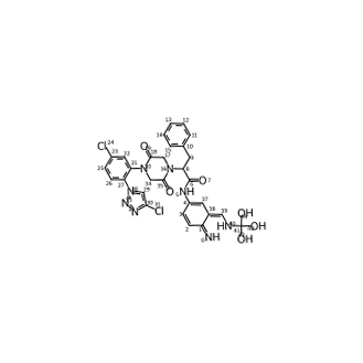 N=C1C=CC(NC(=O)C(Cc2ccccc2)N2CC(=O)N(c3cc(Cl)ccc3-n3cc(Cl)nn3)CC2=O)=C/C1=C/NC(O)(O)O